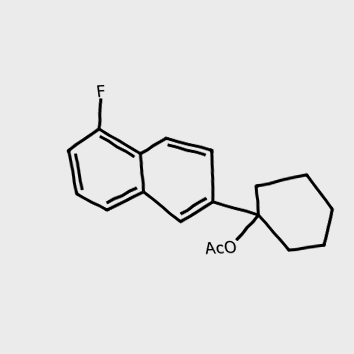 CC(=O)OC1(c2ccc3c(F)cccc3c2)CCCCC1